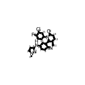 Cn1ccc(Nc2ccc3ncc4ccc(=O)n(-c5ccc(F)c(Cl)c5)c4c3c2)n1